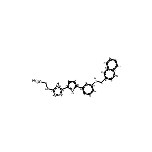 O=C(O)CSc1nnc(-c2ccc(-c3cccc(OCc4ccc5ccccc5c4)c3)o2)[nH]1